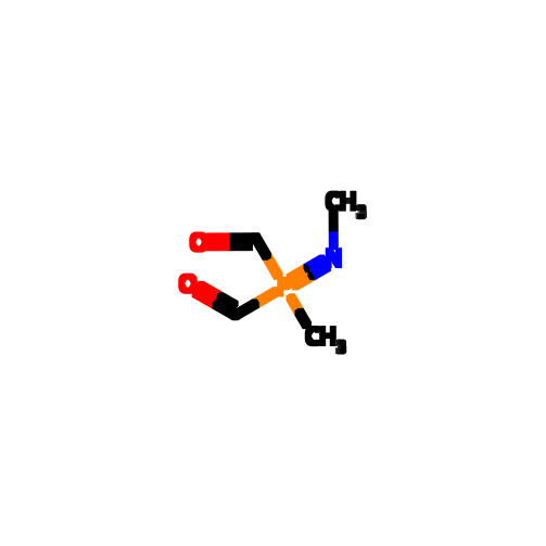 CN=P(C)(C=O)C=O